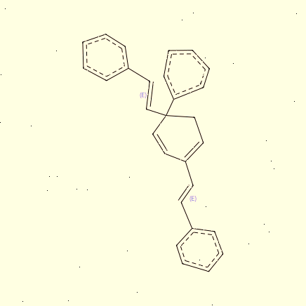 C1=CC(/C=C/c2ccccc2)(c2ccccc2)CC=C1/C=C/c1ccccc1